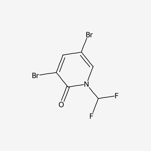 O=c1c(Br)cc(Br)cn1C(F)F